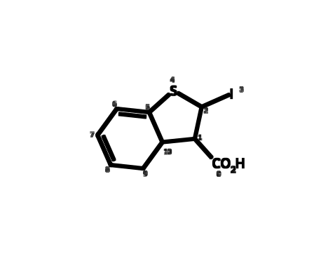 O=C(O)C1C(I)SC2=CC=CCC21